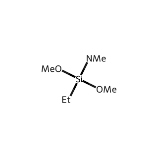 CC[Si](NC)(OC)OC